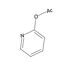 [CH2]C(=O)Oc1ccccn1